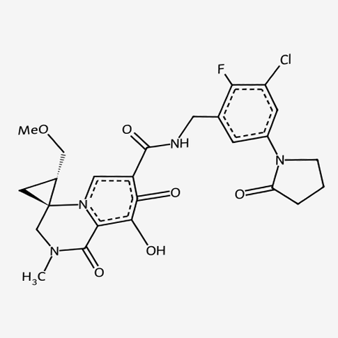 COC[C@H]1C[C@@]12CN(C)C(=O)c1c(O)c(=O)c(C(=O)NCc3cc(N4CCCC4=O)cc(Cl)c3F)cn12